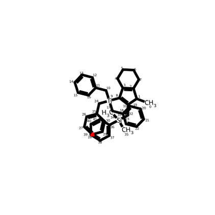 CC1C2=C(CCCC2)[C]([Ti]([CH2]c2ccccc2)([CH2]c2ccccc2)[CH2]c2ccccc2)=C1C[Si](C)(C)c1ccccc1